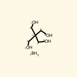 B.OCC(CO)(CO)CO